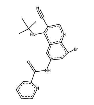 CC(C)(C)Nc1c(C#N)cnc2c(Br)cc(NC(=O)c3ccccn3)cc12